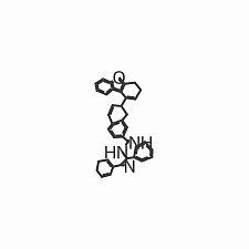 N=C(NC1(c2ccccc2)N=C1C1=CCCC=C1)c1ccc2c(c1)CC(C1=CCCc3oc4ccccc4c31)C=C2